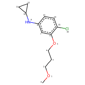 COCCCOc1cc(NC2CC2)ccc1Cl